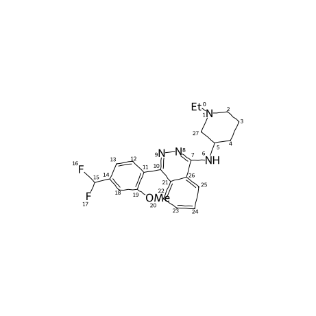 CCN1CCCC(Nc2nnc(-c3ccc(C(F)F)cc3OC)c3ccccc23)C1